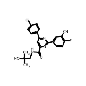 CC(C)(O)CNC(=O)c1cc(-c2ccc(Cl)cc2)nc(-c2ccc(F)c(C#N)c2)n1